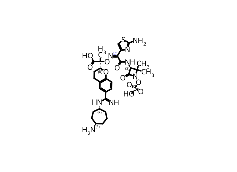 CC(O/N=C(\C(=O)N[C@@H]1C(=O)N(OS(=O)(=O)O)C1(C)C)c1csc(N)n1)(C(=O)O)[C@H]1CCc2cc(C(=N)N[C@@H]3CCC[C@@H](N)CC3)ccc2O1